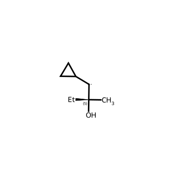 CC[C@@](C)(O)[CH]C1CC1